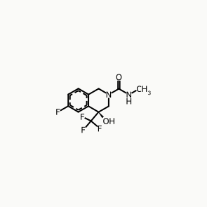 CNC(=O)N1Cc2ccc(F)cc2[C@@](O)(C(F)(F)F)C1